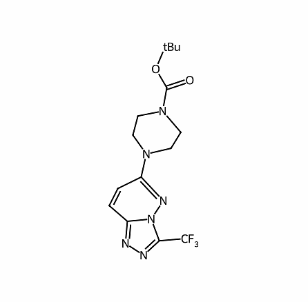 CC(C)(C)OC(=O)N1CCN(c2ccc3nnc(C(F)(F)F)n3n2)CC1